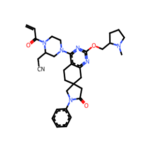 C=CC(=O)N1CCN(c2nc(OCC3CCCN3C)nc3c2CCC2(CC(=O)N(c4ccccc4)C2)C3)CC1CC#N